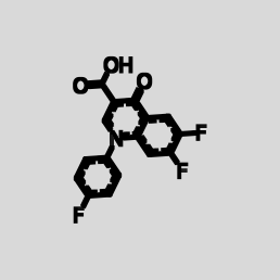 O=C(O)c1cn(-c2ccc(F)cc2)c2cc(F)c(F)cc2c1=O